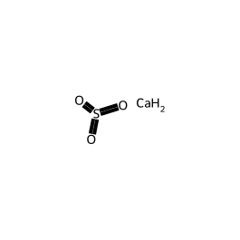 O=S(=O)=O.[CaH2]